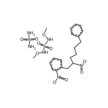 CONS(=O)(=O)NOC.NS(N)(=O)=O.O=[N+]([O-])c1ccccc1CC(CCCCc1ccccc1)[N+](=O)[O-]